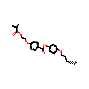 C=C(C)C(=O)OCCOc1ccc(C(=O)Oc2ccc(OCCCC(=O)O)cc2)cc1